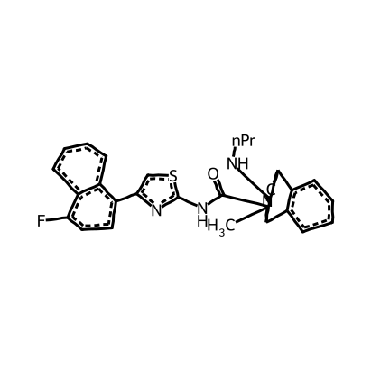 CCCNC1=NC2c3ccccc3C1CC2(C)C(=O)Nc1nc(-c2ccc(F)c3ccccc23)cs1